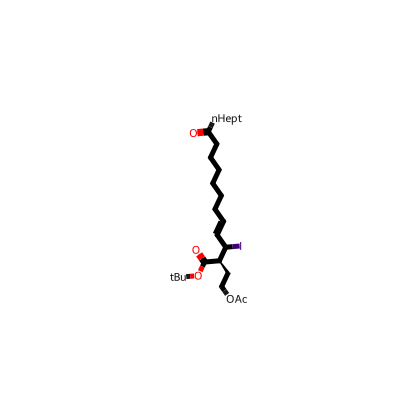 CCCCCCCC(=O)CCCCCC/C=C/C(I)[C@@H](CCOC(C)=O)C(=O)OC(C)(C)C